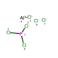 ClP(Cl)Cl.[Al+3].[Cl-].[Cl-].[Cl-]